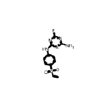 C=CS(=O)(=O)c1ccc(Nc2nc(N)nc(F)n2)cc1